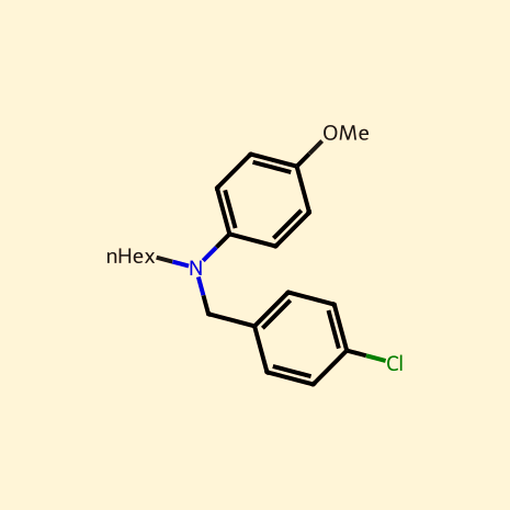 CCCCCCN(Cc1ccc(Cl)cc1)c1ccc(OC)cc1